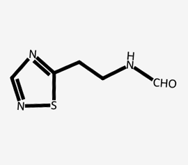 O=CNCCc1ncns1